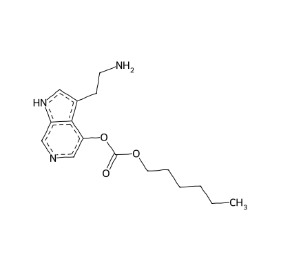 CCCCCCOC(=O)Oc1cncc2[nH]cc(CCN)c12